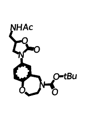 CC(=O)NCC1CN(c2ccc3c(c2)CN(C(=O)OC(C)(C)C)CCO3)C(=O)O1